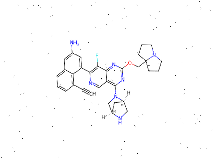 C#Cc1cccc2cc(N)cc(-c3ncc4c(N5C[C@H]6C[C@@H]5CN6)nc(OCC56CCCN5CCC6)nc4c3F)c12